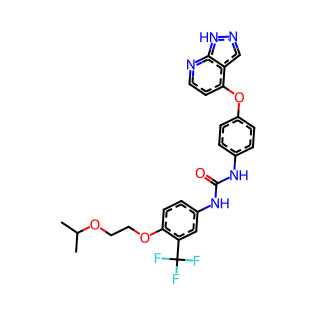 CC(C)OCCOc1ccc(NC(=O)Nc2ccc(Oc3ccnc4[nH]ncc34)cc2)cc1C(F)(F)F